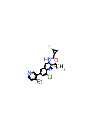 C=CCC(/C=C1/C=C(c2cnccc2CC)C=C(Cl)/C1=N/C)NC(=O)C1CC1F